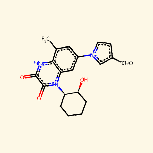 O=Cc1ccn(-c2cc(C(F)(F)F)c3[nH]c(=O)c(=O)n([C@@H]4CCCC[C@@H]4O)c3c2)c1